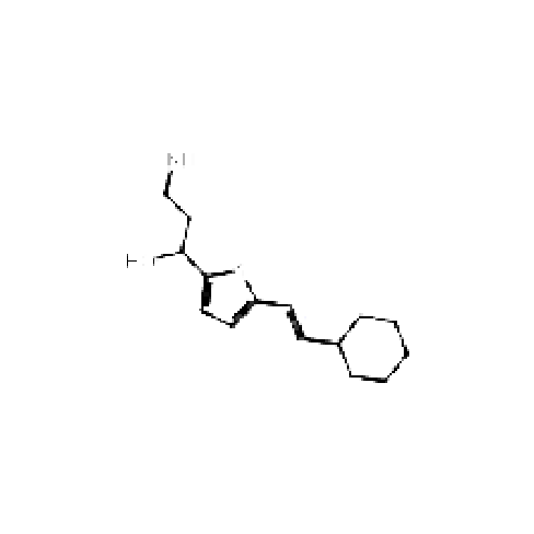 NCCC(O)c1ccc(/C=C/C2CCCCC2)s1